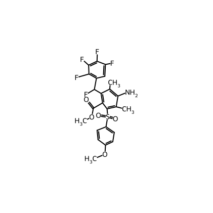 COC(=O)c1c(C(F)c2cc(F)c(F)c(F)c2F)c(C)c(N)c(C)c1S(=O)(=O)c1ccc(OC)cc1